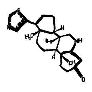 C[C@]12CCC(=O)C=C1NC[C@@H]1[C@@H]2CC[C@]2(C)C(c3cncs3)=CC[C@@H]12